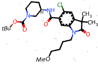 COCCCCN1C(=O)C(C)(C)c2cc(Cl)c(C(=O)N[C@@H]3CCCN(C(=O)OC(C)(C)C)C3)cc21